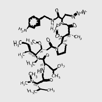 CC[C@H](C)[C@@H]([C@@H](CC(=O)N1CCC[C@H]1[C@H](OC)[C@@H](C)C(=O)NC(CN=[N+]=[N-])C(=O)NCc1ccc(N)cc1)OC)N(C)C(=O)[C@@H](NC(=O)[C@H](C(C)C)N(C)C)C(C)C